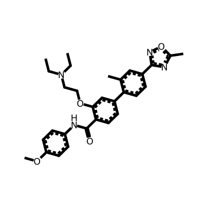 CCN(CC)CCOc1cc(-c2ccc(-c3noc(C)n3)cc2C)ccc1C(=O)Nc1ccc(OC)cc1